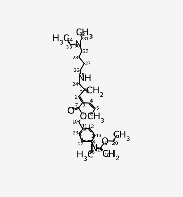 C=C(/C=C(\C=C/C)C(=O)OCc1ccc(N(C)C(=C)OCC)cc1)CNCCCCN(CC)CC